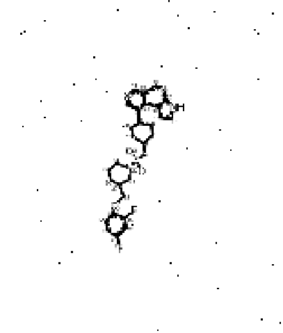 O=S(=O)(CC1CCC(c2cncc3cnc4[nH]ccc4c23)CC1)N1CCCC(COc2ccc(F)cc2F)C1